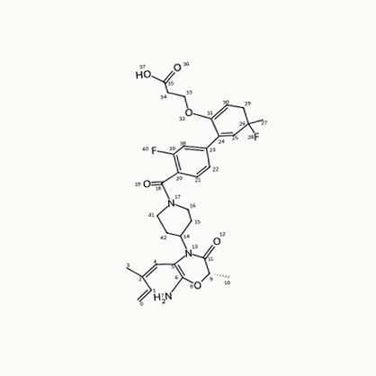 C=C/C(C)=C\C1=C(N)O[C@@H](C)C(=O)N1C1CCN(C(=O)c2ccc(C3=CC(C)(F)CC=C3OCCC(=O)O)cc2F)CC1